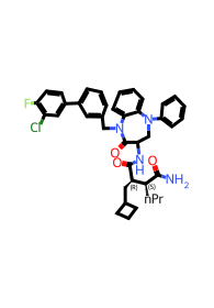 CCC[C@H](C(N)=O)[C@@H](CC1CCC1)C(=O)NC1CN(c2ccccc2)c2ccccc2N(Cc2cccc(-c3ccc(F)c(Cl)c3)c2)C1=O